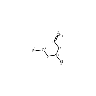 C=CCN(CC)COCC